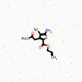 C=CCOC(=O)c1sc(N)c(C#N)c1CC(=O)OC